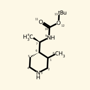 CC1CNCC[C@@H]1[C@@H](C)NC(=O)OC(C)(C)C